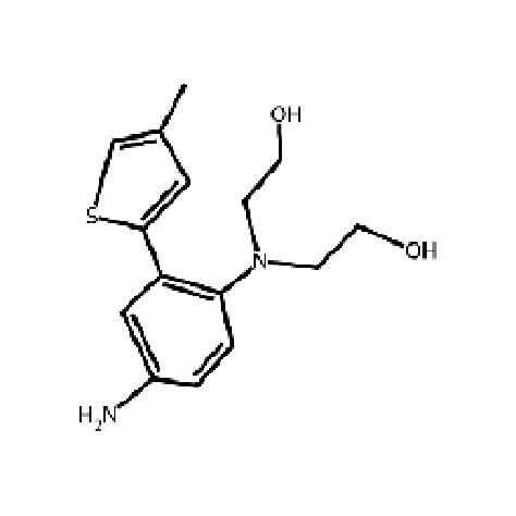 Cc1csc(-c2cc(N)ccc2N(CCO)CCO)c1